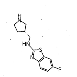 Fc1ccc2nc(NC[C@@H]3CCNC3)sc2c1